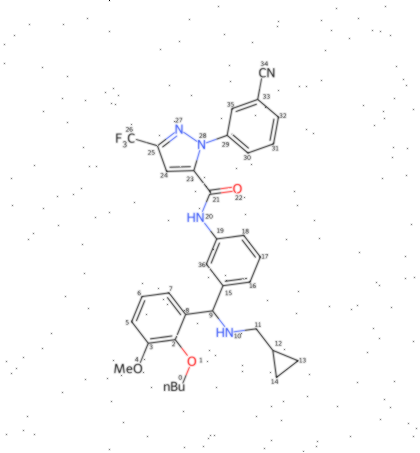 CCCCOc1c(OC)cccc1C(NCC1CC1)c1cccc(NC(=O)c2cc(C(F)(F)F)nn2-c2cccc(C#N)c2)c1